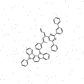 C=C/C=C(\C=C(/C)c1cccc(-n2c3ccccc3c3ccc4c(c5ccccc5n4-c4ccccc4)c32)c1)c1cc(-c2ccccc2)nc(-c2cccc(-c3ccccc3)c2)n1